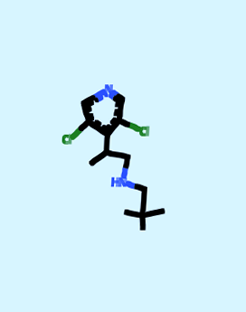 CC(CNCC(C)(C)C)c1c(Cl)cncc1Cl